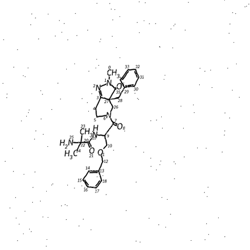 CN1N=C2CCN(C(=O)C(COCc3ccccc3)NC(=O)C(C)(C)N)C[C@@]2(Cc2ccccc2)C1=O